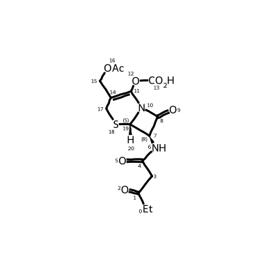 CCC(=O)CC(=O)N[C@@H]1C(=O)N2C(OC(=O)O)=C(COC(C)=O)CS[C@@H]12